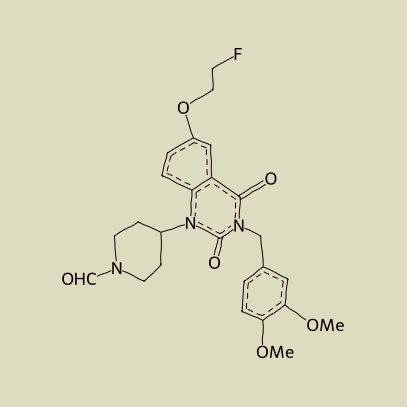 COc1ccc(Cn2c(=O)c3cc(OCCF)ccc3n(C3CCN(C=O)CC3)c2=O)cc1OC